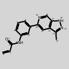 C=CC(=O)Nc1cccc(-c2cc3c(C)n[nH]c3cn2)c1